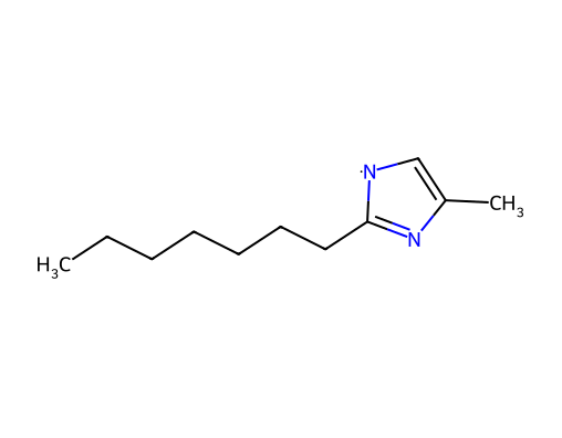 CCCCCCCC1=NC(C)=C[N]1